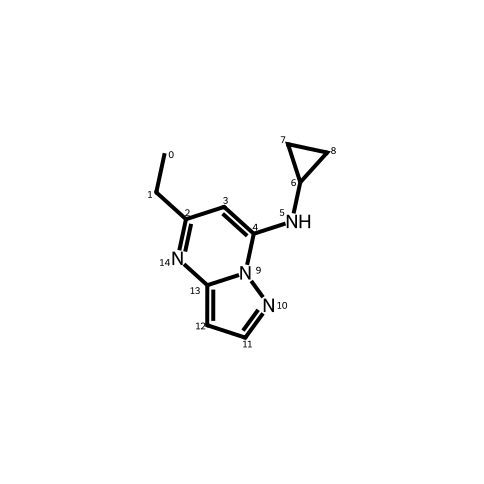 CCc1cc(NC2CC2)n2nccc2n1